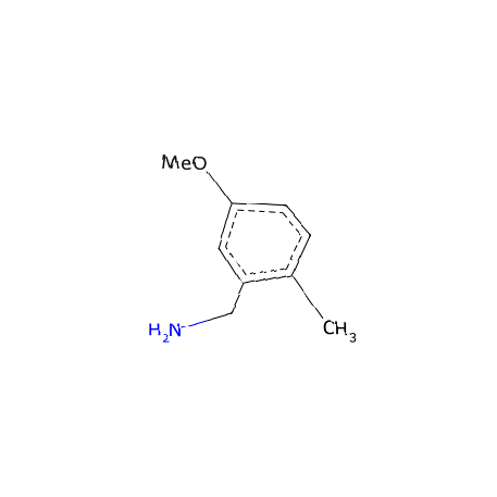 COc1ccc(C)c(CN)c1